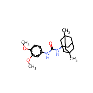 COc1ccc(NC(=O)NC23CC4CC(C)(CC(C)(C4)C2)C3)cc1OC